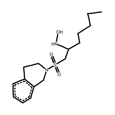 CCCCCC(CS(=O)(=O)N1CCc2ccccc2C1)NO